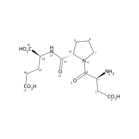 N[C@@H](CC(=O)O)C(=O)N1CCC[C@H]1C(=O)N[C@@H](CCC(=O)O)C(=O)O